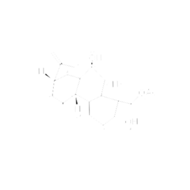 C=C1C[C@@]23C[C@@H]1CC[C@H]2[C@]1(C)CC[C@@H](O)[C@](C)(COC(C)=O)[C@@H]1C[C@@H]3O